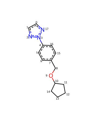 c1cnn(-c2ccc(COC3CCCC3)cc2)n1